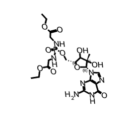 CCOC(=O)CNP(=O)(NCC(=O)OCC)OC[C@H]1O[C@@H](n2cnc3c(=O)[nH]c(N)nc32)[C@@](C)(O)C1O